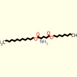 CCCCCCCCCCCCOC(=O)[C@@H](N)CCC(=O)OCCCCCCCC